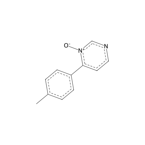 Cc1ccc(-c2ccnc[n+]2[O-])cc1